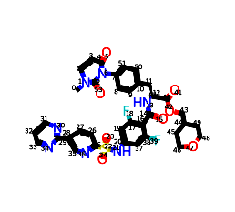 Cn1ccc(=O)n(-c2ccc(C[C@H](NC(=O)c3c(F)cc(NS(=O)(=O)c4ccc(-c5ncccn5)cn4)cc3F)C(=O)OCC3CCOCC3)cc2)c1=O